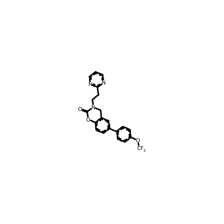 O=C1Oc2ccc(-c3ccc(OC(F)(F)F)cc3)cc2CN1CCc1ncccn1